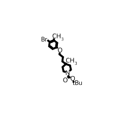 Cc1cc(OCCCC2(C)CCN(C(=O)OC(C)(C)C)CC2)ccc1Br